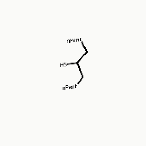 CCCCCCC(S)CCCCCC